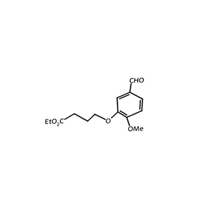 CCOC(=O)CCCOc1cc(C=O)ccc1OC